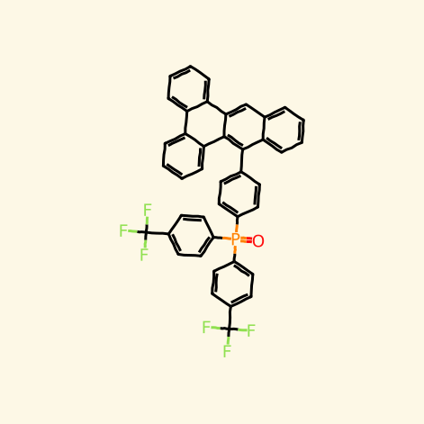 O=P(c1ccc(-c2c3ccccc3cc3c4ccccc4c4ccccc4c23)cc1)(c1ccc(C(F)(F)F)cc1)c1ccc(C(F)(F)F)cc1